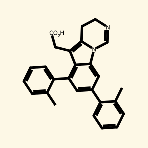 Cc1ccccc1-c1cc(-c2ccccc2C)c2c(CC(=O)O)c3n(c2c1)C=NCC3